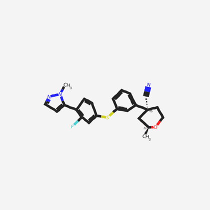 C[C@H]1C[C@@](C#N)(c2cccc(Sc3ccc(-c4ccnn4C)c(F)c3)c2)CCO1